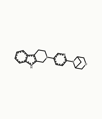 c1ccc2c3c([nH]c2c1)CN(c1ccc(N2C4COCC2C4)nc1)CC3